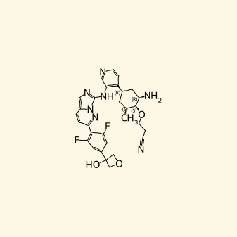 C[C@H]1C[C@@H](c2ccncc2Nc2ncc3ccc(-c4c(F)cc(C5(O)COC5)cc4F)nn23)C[C@@H](N)[C@H]1OCCC#N